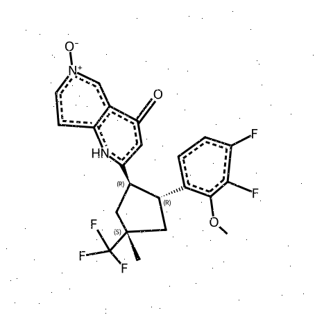 COc1c([C@@H]2C[C@](C)(C(F)(F)F)C[C@H]2c2cc(=O)c3c[n+]([O-])ccc3[nH]2)ccc(F)c1F